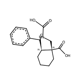 O=C(O)NC[C@@]1(C(=O)O)CCCC[C@H]1C(Cl)c1ccccc1